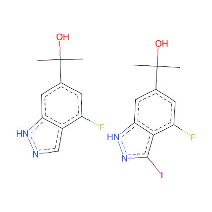 CC(C)(O)c1cc(F)c2c(I)n[nH]c2c1.CC(C)(O)c1cc(F)c2cn[nH]c2c1